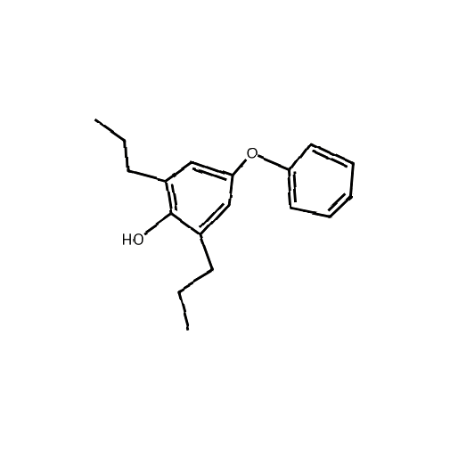 CCCc1cc(Oc2ccccc2)cc(CCC)c1O